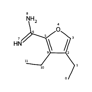 CCc1coc(C(=N)N)c1CC